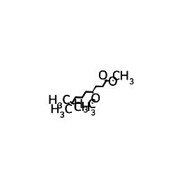 COC(=O)CC[C@H](CCCC(C)(C)C)OC